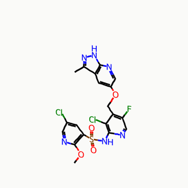 COc1ncc(Cl)cc1S(=O)(=O)Nc1ncc(F)c(COc2cnc3[nH]nc(C)c3c2)c1Cl